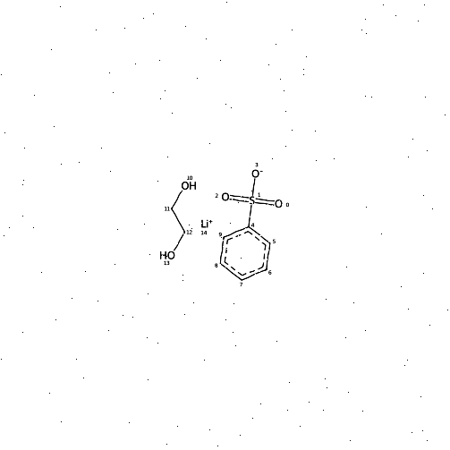 O=S(=O)([O-])c1ccccc1.OCCO.[Li+]